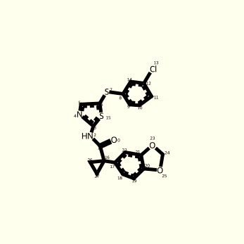 O=C(Nc1ncc(Sc2cccc(Cl)c2)s1)C1(c2ccc3c(c2)OCO3)CC1